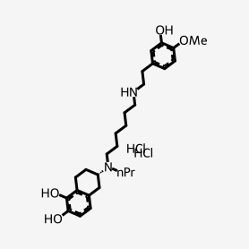 CCCN(CCCCCCNCCc1ccc(OC)c(O)c1)[C@H]1CCc2c(ccc(O)c2O)C1.Cl.Cl